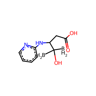 BC(B)(O)C(CC(=O)O)Nc1ccccn1